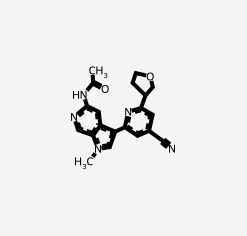 CC(=O)Nc1cc2c(-c3cc(C#N)cc(C4CCOC4)n3)cn(C)c2cn1